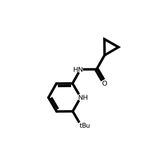 CC(C)(C)C1C=CC=C(NC(=O)C2CC2)N1